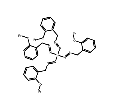 CC(C)Oc1ccccc1CN=N[Si](N=NCc1ccccc1OC(C)C)(N=NCc1ccccc1OC(C)C)N=NCc1ccccc1OC(C)C